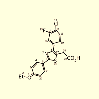 CCOc1ccc(-c2nc(-c3ccc(Cl)c(F)c3)c(CC(=O)O)s2)cc1